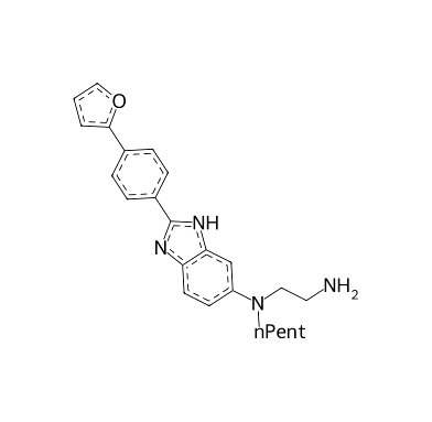 CCCCCN(CCN)c1ccc2nc(-c3ccc(-c4ccco4)cc3)[nH]c2c1